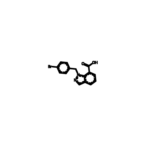 O=C(O)c1cccc2cnn(Cc3ccc(Br)cc3)c12